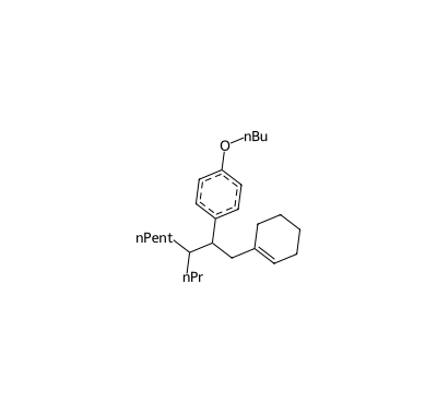 CCCCCC(CCC)C(CC1=CCCCC1)c1ccc(OCCCC)cc1